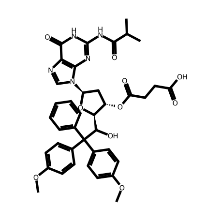 COc1ccc(C(c2ccccc2)(c2ccc(OC)cc2)C(O)[C@H]2O[C@@H](n3cnc4c(=O)[nH]c(NC(=O)C(C)C)nc43)C[C@@H]2OC(=O)CCC(=O)O)cc1